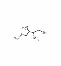 CSCC(N)C(N)CS